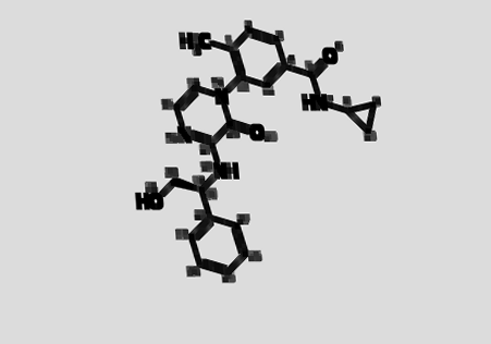 Cc1ccc(C(=O)NC2CC2)cc1-n1ccnc(N[C@H](CO)c2ccccc2)c1=O